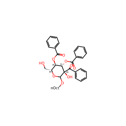 CCCCCCCCOC1O[C@H](CO)[C@@H](OC(=O)c2ccccc2)[C@H](OC(=O)c2ccccc2)[C@]1(O)C(=O)c1ccccc1